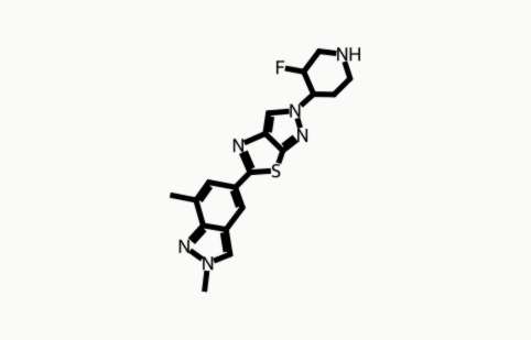 Cc1cc(-c2nc3cn(C4CCNCC4F)nc3s2)cc2cn(C)nc12